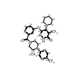 C[C@@H]1CN(C(=O)c2cc(Oc3n[nH]c(=O)c(C(F)(F)F)c3N3CCCCC3)ccn2)CCN1c1cnc(C(F)(F)F)cn1